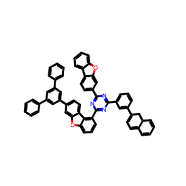 C1=CC2=CC=C(c3cccc(-c4nc(-c5ccc6c(c5)oc5ccccc56)nc(-c5cccc6oc7cc(-c8cc(-c9ccccc9)cc(-c9ccccc9)c8)ccc7c56)n4)c3)CC2C=C1